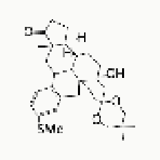 CSc1ccc2c(c1)C[C@]13CCC4(C[C@]1(O)CC[C@@H]1C3C2C[C@]2(C)C(=O)CC[C@@H]12)OCC(C)(C)CO4